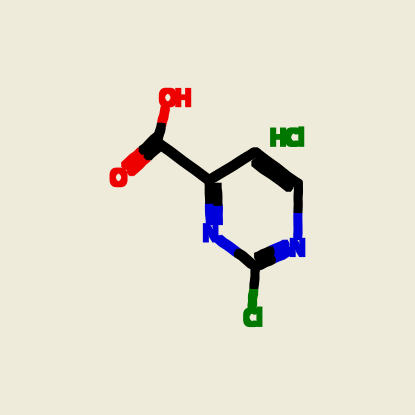 Cl.O=C(O)c1ccnc(Cl)n1